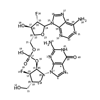 Nc1nc2c(ncn2[C@@H]2S[C@H](CO)[C@@H](F)[C@H]2OP(=O)(S)OC[C@H]2OC(n3cnc4c(N)ncnc43)[C@@H](F)[C@@H]2O)c(=O)[nH]1